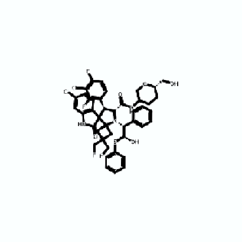 O=C(NC1CC[C@@H](CO)OC1)[C@H]1[C@H](c2ccc(F)c(Cl)c2F)C2(C(=O)Nc3cc(Cl)ccc32)C2(CC(CF)(CF)C2)N1[C@H](c1ccccc1)[C@@H](O)Sc1ccccc1